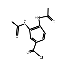 CC(=O)Nc1ccc(C(=O)Cl)cc1NC(C)=O